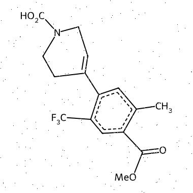 COC(=O)c1cc(C(F)(F)F)c(C2=CCN(C(=O)O)CC2)cc1C